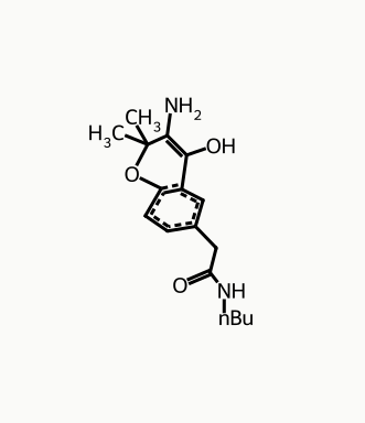 CCCCNC(=O)Cc1ccc2c(c1)C(O)=C(N)C(C)(C)O2